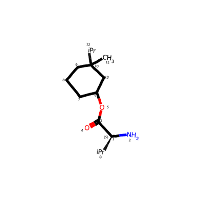 CC(C)[C@H](N)C(=O)OC1CCCC(C)(C(C)C)C1